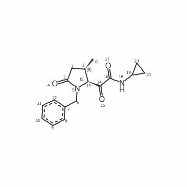 C[C@@H]1CC(=O)N(Cc2ccccc2)[C@@H]1C(=O)C(=O)NC1CC1